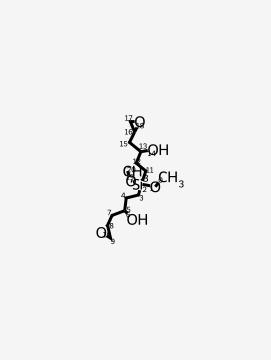 CO[Si](CCC(O)CC1CO1)(CCC(O)CC1CO1)OC